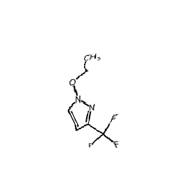 CCOn1ccc(C(F)(F)F)n1